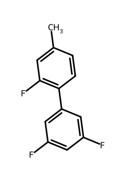 Cc1ccc(-c2cc(F)cc(F)c2)c(F)c1